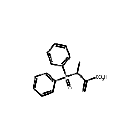 C=C(C(=O)O)C(C)P(=O)(c1ccccc1)c1ccccc1